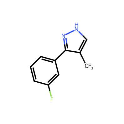 Fc1cccc(-c2n[nH]cc2C(F)(F)F)c1